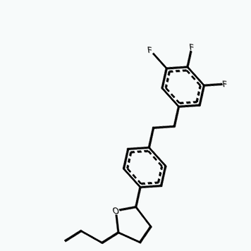 CCCC1CCC(c2ccc(CCc3cc(F)c(F)c(F)c3)cc2)O1